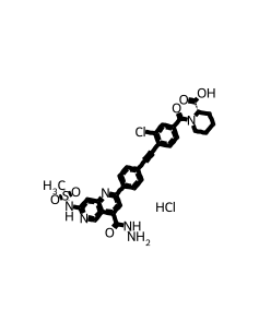 CS(=O)(=O)Nc1cc2nc(-c3ccc(C#Cc4ccc(C(=O)N5CCCC[C@H]5C(=O)O)cc4Cl)cc3)cc(C(=O)NN)c2cn1.Cl